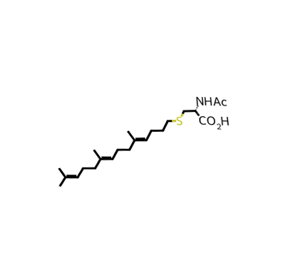 CC(=O)N[C@@H](CSCCC/C=C(\C)CC/C=C(\C)CCC=C(C)C)C(=O)O